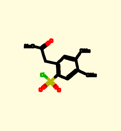 COC(=O)Cc1cc(OC)c(OC)cc1S(=O)(=O)Cl